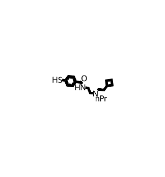 CCCN(CCNC(=O)c1ccc(S)cc1)CCC1CCC1